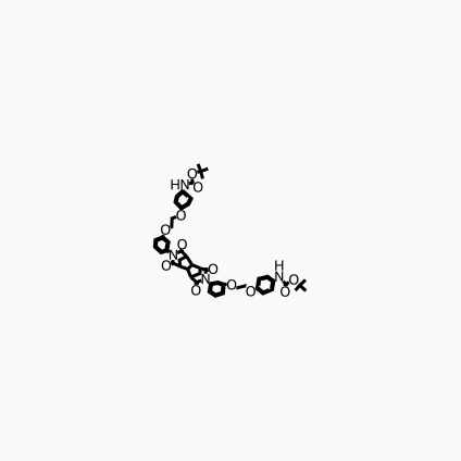 CC(C)(C)OC(=O)Nc1ccc(OCCOc2cccc(N3C(=O)C4CC(C3=O)C3C5CC(C(=O)N(c6cccc(OCCOc7ccc(NC(=O)OC(C)(C)C)cc7)c6)C5=O)C43)c2)cc1